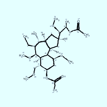 CC[C@H]1[C@H](O)[C@H]2C[C@@](O)([C@@H](OC)[C@@H](C)OC(C)=O)C[C@H]2C2[C@@H]([C@@H](COC)[C@H](OC(C)=O)C[C@@H]2OC)[C@H]1OC